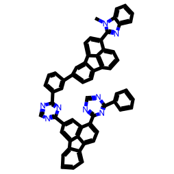 Cn1c(-c2ccc3c4c(cccc24)-c2ccc(-c4cccc(-c5ncnc(-c6cc7c8c(ccc(-c9ncnc(-c%10ccccc%10)n9)c8c6)-c6ccccc6-7)n5)c4)cc2-3)nc2ccccc21